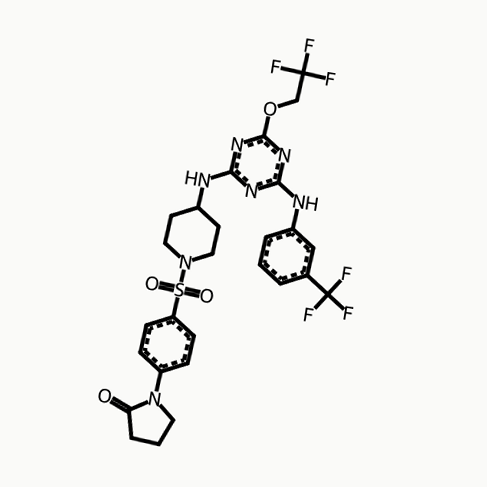 O=C1CCCN1c1ccc(S(=O)(=O)N2CCC(Nc3nc(Nc4cccc(C(F)(F)F)c4)nc(OCC(F)(F)F)n3)CC2)cc1